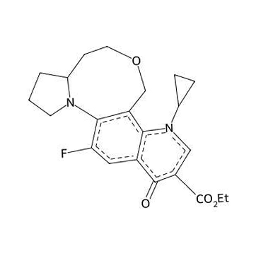 CCOC(=O)c1cn(C2CC2)c2c3c(c(F)cc2c1=O)N1CCCC1CCOC3